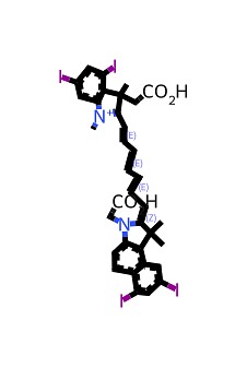 C[N+]1=C(/C=C/C=C/C=C/C=C2\N(CC(=O)O)c3ccc4c(I)cc(I)cc4c3C2(C)C)C(C)(CC(=O)O)c2c(I)cc(I)cc21